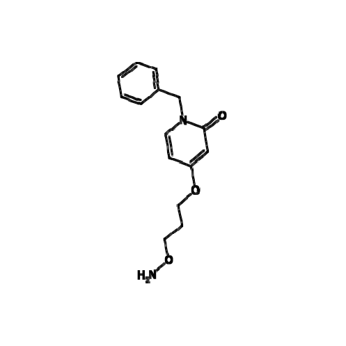 NOCCCOc1ccn(Cc2ccccc2)c(=O)c1